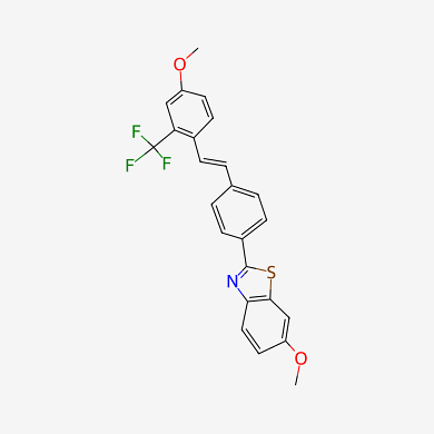 COc1ccc(/C=C/c2ccc(-c3nc4ccc(OC)cc4s3)cc2)c(C(F)(F)F)c1